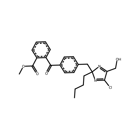 CCCCC1(Cc2ccc(C(=O)c3ccccc3C(=O)OC)cc2)N=C(Cl)C(CO)=N1